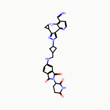 N=Cc1ccnc(-c2cn(C3CC(CNc4ccc5c(c4)C(=O)N(C4CCC(=O)NC4=O)C5=O)C3)nc2C2CC2)c1N